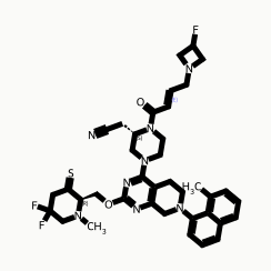 Cc1cccc2cccc(N3CCc4c(nc(OC[C@@H]5C(=S)CC(F)(F)CN5C)nc4N4CCN(C(=O)/C=C/CN5CC(F)C5)[C@@H](CC#N)C4)C3)c12